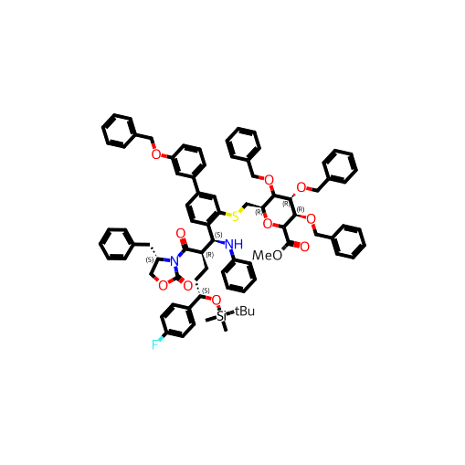 COC(=O)C1O[C@@H](CSc2cc(-c3cccc(OCc4ccccc4)c3)ccc2[C@@H](Nc2ccccc2)[C@@H](CC[C@H](O[Si](C)(C)C(C)(C)C)c2ccc(F)cc2)C(=O)N2C(=O)OC[C@@H]2Cc2ccccc2)C(OCc2ccccc2)[C@H](OCc2ccccc2)[C@H]1OCc1ccccc1